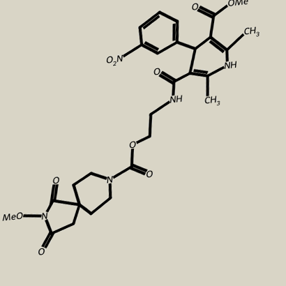 COC(=O)C1=C(C)NC(C)=C(C(=O)NCCOC(=O)N2CCC3(CC2)CC(=O)N(OC)C3=O)C1c1cccc([N+](=O)[O-])c1